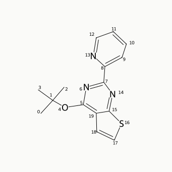 CC(C)(C)Oc1nc(-c2ccccn2)nc2sccc12